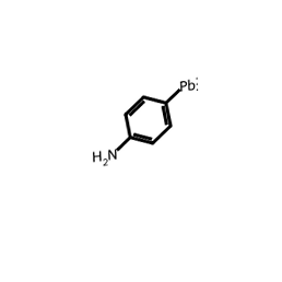 Nc1cc[c]([Pb])cc1